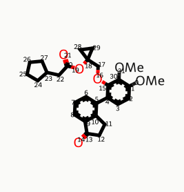 COc1ccc(-c2cccc3c2CCC3=O)c(OCC2(OC(=O)CC3CCCC3)CC2)c1OC